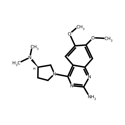 COc1cc2nc(N)nc(N3CC[C@@H](N(C)C)C3)c2cc1OC